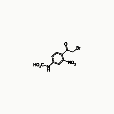 O=C(O)Nc1ccc(C(=O)CBr)c([N+](=O)[O-])c1